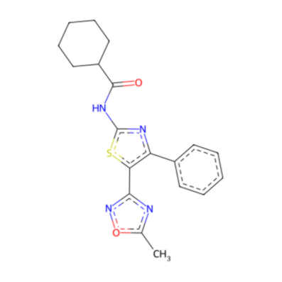 Cc1nc(-c2sc(NC(=O)C3CCCCC3)nc2-c2ccccc2)no1